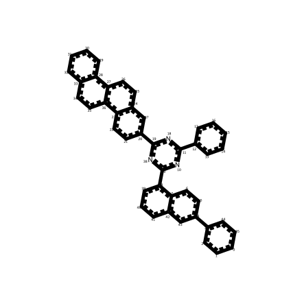 c1ccc(-c2ccc3c(-c4nc(-c5ccccc5)nc(-c5ccc6c(ccc7c8ccccc8ccc67)c5)n4)cccc3c2)cc1